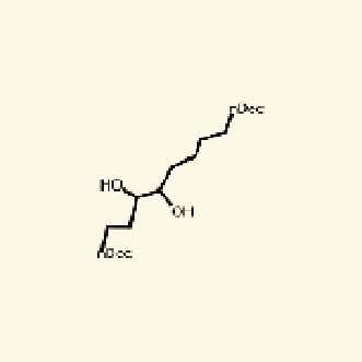 CCCCCCCCCCCCCCC(O)C(O)CCCCCCCCCCCC